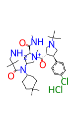 CNC(=O)[C@@H]1C[C@H](N(C(=O)C(C)(C)CN)C2CCC(C)(C)CC2)C[N+]1(C)C(=O)[C@@H]1CN(C(C)(C)C)C[C@H]1c1ccc(Cl)cc1.Cl